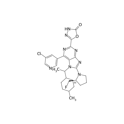 CC1CCC(C(C)n2c(N3CCC[C@H]3CF)nc3nc(-c4n[nH]c(=O)o4)nc(-c4cncc(Cl)c4)c32)CC1